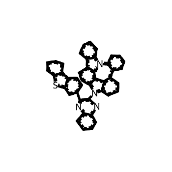 c1ccc2nc(-n3c4cccc5c6ccccc6n6c7ccccc7c7ccc3c(c54)c76)c(-c3ccc4c(c3)sc3ccccc34)nc2c1